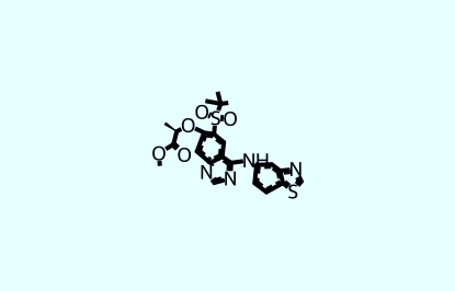 COC(=O)[C@@H](C)Oc1cc2ncnc(Nc3ccc4scnc4c3)c2cc1S(=O)(=O)C(C)(C)C